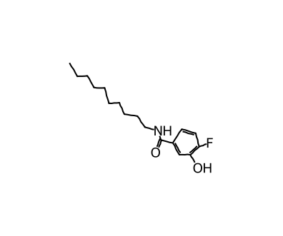 CCCCCCCCCCNC(=O)c1ccc(F)c(O)c1